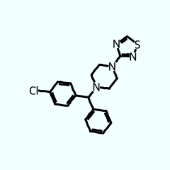 Clc1ccc(C(c2ccccc2)N2CCN(c3ncsn3)CC2)cc1